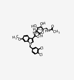 COc1ccc2c(C3=N[C@H]4[C@@H](O3)O[C@H](CNC(C)=O)[C@@H](O)[C@@H]4O)cn(Cc3ccc(Cl)c(Cl)c3)c2c1